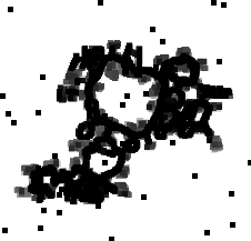 CC[C@H]1OC(=O)[C@H](C)[C@@H](O[C@H]2C[C@@](C)(OC)[C@](O)(CNn3cccn3)[C@H](C)O2)[C@H](C)[C@@H](O[C@@H]2O[C@H](C)C[C@H](NC)[C@H]2Oc2ccccc2)[C@](C)(O)C[C@@H](C)CN[C@H](C)[C@@H](O)[C@]1(C)O